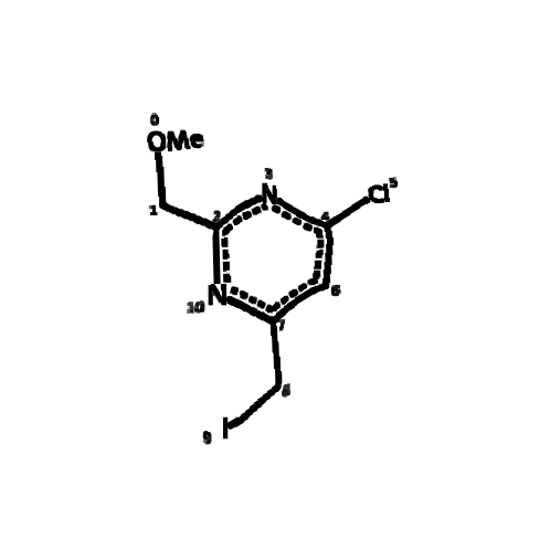 COCc1nc(Cl)cc(CI)n1